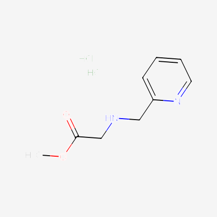 COC(=O)CNCc1ccccn1.Cl.Cl